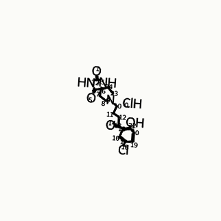 Cl.O=C1NC(=O)C2(CCN(CCCC(=O)c3cc(Cl)ccc3O)CC2)N1